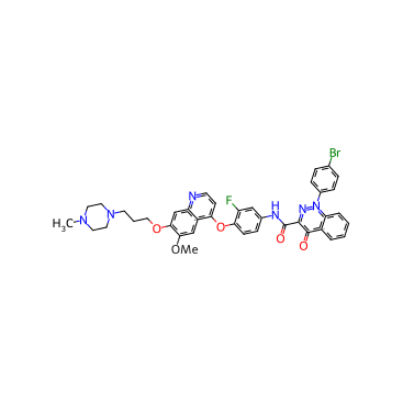 COc1cc2c(Oc3ccc(NC(=O)c4nn(-c5ccc(Br)cc5)c5ccccc5c4=O)cc3F)ccnc2cc1OCCCN1CCN(C)CC1